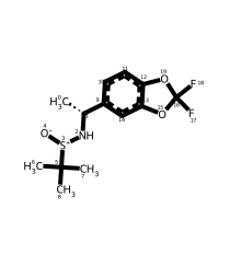 C[C@@H](N[S+]([O-])C(C)(C)C)c1ccc2c(c1)OC(F)(F)O2